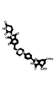 COc1cc(OC)c2c(=O)[nH]c(-c3ccc(N4CCN(Cc5ccc6c(c5F)C(=O)N(C5CCC(=O)NC5=O)C6=O)CC4)cc3)nc2c1